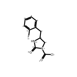 O=C(Cl)N1CC(Cc2ccccc2F)NC1=O